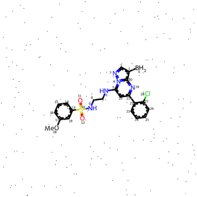 Bc1cnn2c(NCCNS(=O)(=O)c3cccc(OC)c3)cc(-c3ccccc3Cl)nc12